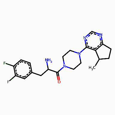 CC1CCc2ncnc(N3CCN(C(=O)C(N)Cc4ccc(F)c(F)c4)CC3)c21